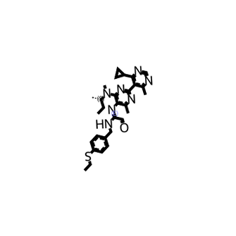 CCSc1ccc(CN/C(C=O)=N/c2c(C)nc(-c3c(C)ncnc3C3CC3)nc2N(C)[C@@H](C)CC)cc1